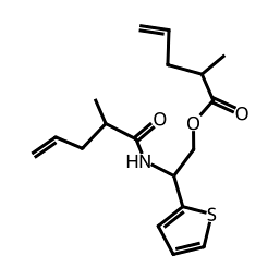 C=CCC(C)C(=O)NC(COC(=O)C(C)CC=C)c1cccs1